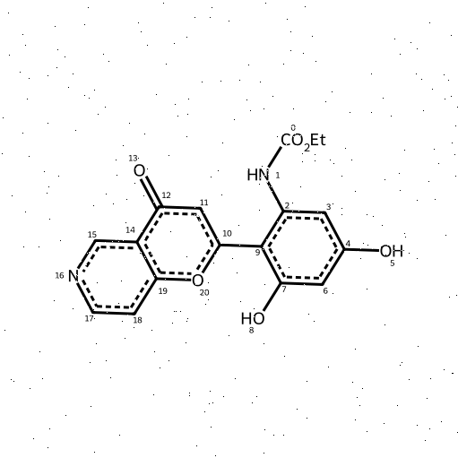 CCOC(=O)Nc1cc(O)cc(O)c1-c1cc(=O)c2cnccc2o1